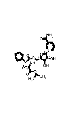 CC(C)OC(=O)[C@H](C)NP(=O)(OC[C@H]1O[C@@H]([n+]2cccc(C(N)=O)c2)[C@@H](O)C1O)Oc1ccccc1